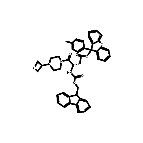 Cc1ccc(C(OC(=O)C[C@H](NC(=O)OCC2c3ccccc3-c3ccccc32)C(=O)N2CCN(C3COC3)CC2)(c2ccccc2)c2ccccc2Cl)cc1